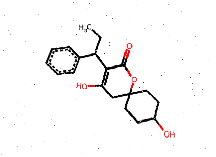 CCC(C1=C(O)CC2(CCC(O)CC2)OC1=O)c1ccccc1